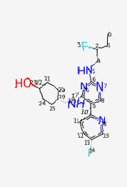 CC[C@H](F)CNc1ncc(-c2ccc(F)cn2)c(N[C@H]2CC[C@H](O)CC2)n1